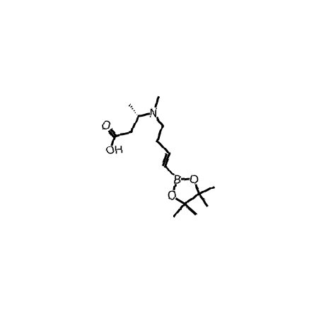 C[C@@H](CC(=O)O)N(C)CC/C=C/B1OC(C)(C)C(C)(C)O1